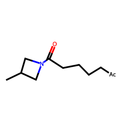 CC(=O)CCCCC(=O)N1CC(C)C1